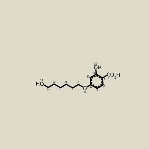 O=C(O)c1ccc(OCCCCCCO)cc1O